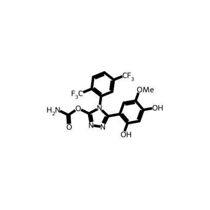 COc1cc(-c2nnc(OC(N)=O)n2-c2cc(C(F)(F)F)ccc2C(F)(F)F)c(O)cc1O